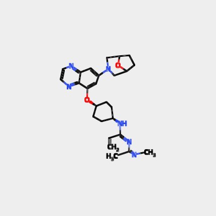 C=C/C(=N\C(C)=N/C)N[C@H]1CC[C@@H](Oc2cc(N3CC4CCC(C3)O4)cc3nccnc23)CC1